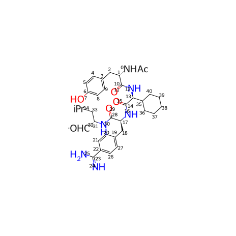 CC(=O)N[C@@H](Cc1ccc(O)cc1)C(=O)N[C@H](C(=O)N[C@@H](Cc1ccc(C(=N)N)cc1)C(=O)N[C@H]([C]=O)CC(C)C)C1CCCCC1